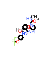 CNC(=O)Cn1cccc(N/C(=N/N(C=O)c2ccc(OC(F)(F)F)cc2)c2ccccc2C)c1=O